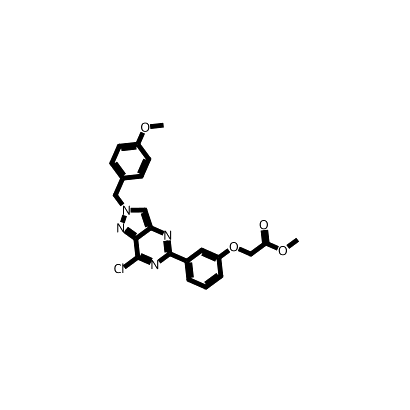 COC(=O)COc1cccc(-c2nc(Cl)c3nn(Cc4ccc(OC)cc4)cc3n2)c1